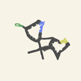 CC1(C)c2cc(Cl)cnc2-c2sccc21